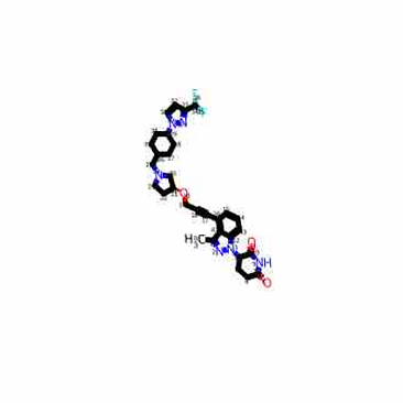 Cc1nn(C2CCC(=O)NC2=O)c2cccc(C#CCO[C@H]3CCN(CC4CCC(n5ccc(C(F)F)n5)CC4)C3)c12